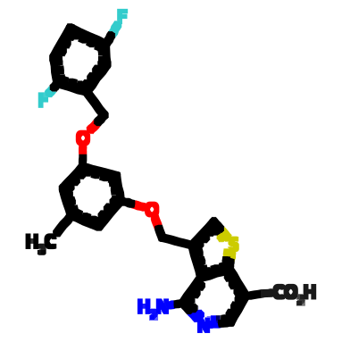 Cc1cc(OCc2cc(F)ccc2F)cc(OCc2csc3c(C(=O)O)cnc(N)c23)c1